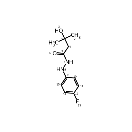 CC(C)(O)CC(=O)NNc1ccc(F)cc1